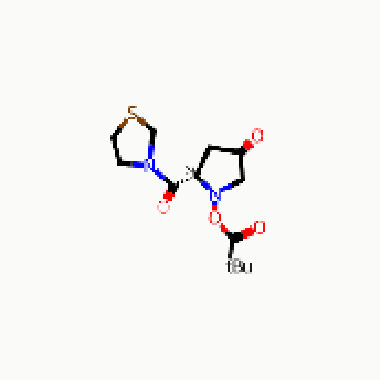 CC(C)(C)C(=O)ON1CC(=O)C[C@H]1C(=O)N1CCSC1